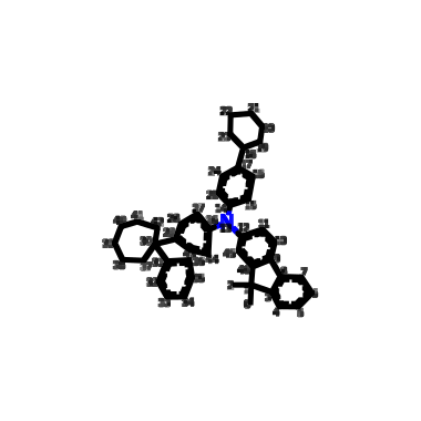 CC1(C)c2ccccc2-c2ccc(N(c3ccc(C4CCCCC4)cc3)c3ccc(C4(c5ccccc5)CCCCCC4)cc3)cc21